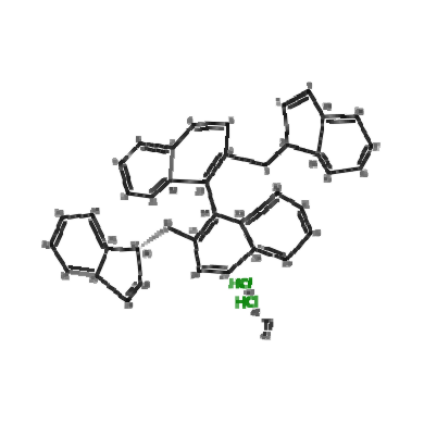 C1=CC(Cc2ccc3ccccc3c2-c2c(C[C@@H]3C=Cc4ccccc43)ccc3ccccc23)c2ccccc21.Cl.Cl.[Ti]